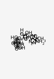 CC(=O)C1(N)N=CN=C2C1=NCN2[C@@H]1O[C@H](COP(=O)(O)OP(=O)(O)OP(=O)(O)O)[C@@H](O)[C@H]1O